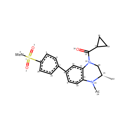 CNS(=O)(=O)c1ccc(-c2ccc3c(c2)N(C(=O)C2CC2)C[C@H](C)N3C(C)=O)cc1